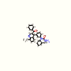 CC(C)c1ccccc1N(C(N)=O)c1cccc(-c2c(C(=O)c3ccccc3)cnc3c(C(F)(F)F)cccc23)c1